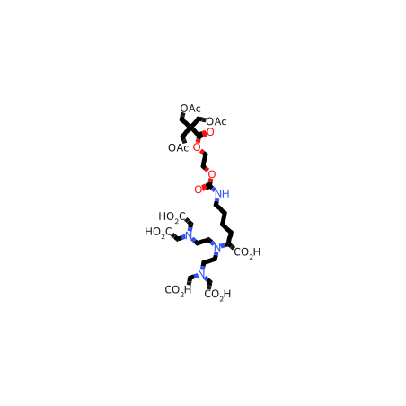 CC(=O)OCC(COC(C)=O)(COC(C)=O)C(=O)OCCOC(=O)NCCCCC(C(=O)O)N(CCN(CC(=O)O)CC(=O)O)CCN(CC(=O)O)CC(=O)O